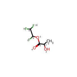 CC(O)C(=O)OC(F)C(F)F